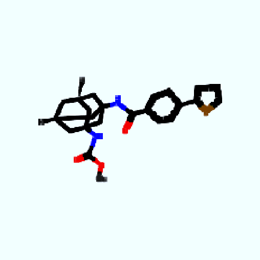 CC(C)(C)OC(=O)NC12C[C@H]3C[C@@H](C1)CC(NC(=O)c1ccc(-c4cccs4)cc1)(C3)C2